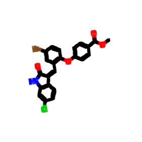 COC(=O)c1ccc(Oc2ccc(Br)cc2C=C2C(=O)Nc3cc(Cl)ccc32)cc1